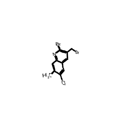 Cc1cc2nc(Br)c(CBr)cc2cc1Cl